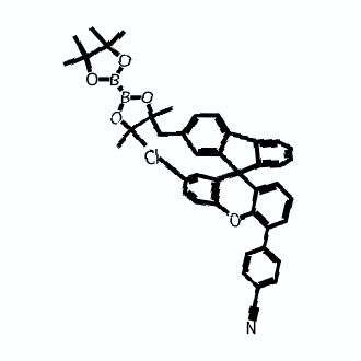 CC1(C)OB(B2OC(C)(C)C(C)(Cc3ccc4c(c3)C3(c5cc(Cl)ccc5Oc5c(-c6ccc(C#N)cc6)cccc53)c3ccccc3-4)O2)OC1(C)C